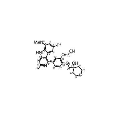 CNc1cc(F)cc2c1[nH]c1nc(C)nc(-c3ccc(OCC4(O)CCOCC4)c(OCC#N)c3)c12